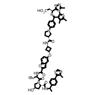 Cc1ncsc1-c1ccc(C(C)NC(=O)[C@@H]2C[C@@H](O)CN2C(=O)C(NC(=O)c2cc3cc(O[C@H]4C[C@@H](NC(=O)[C@@H]5CCN(c6ccc(C7=N[C@@H](CC(=O)O)c8nnc(C)n8-c8sc(C)c(C)c87)cc6)C5)C4)ccc3o2)C(C)(C)C)cc1